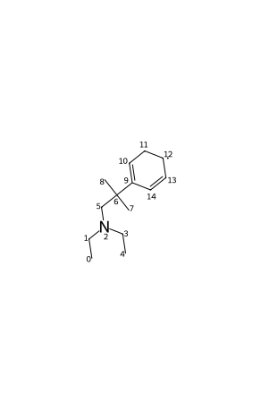 CCN(CC)CC(C)(C)C1=CC[CH]C=C1